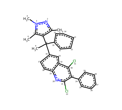 Cc1nn(C)c(C)c1C(C)(c1ccccc1)c1ccc2nc(Cl)c(-c3ccccc3)c(Cl)c2c1